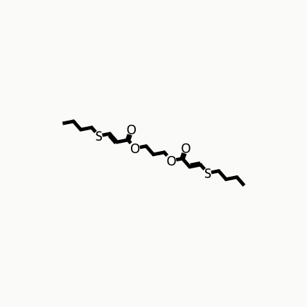 CCCCS/C=C/C(=O)OCCCOC(=O)/C=C/SCCCC